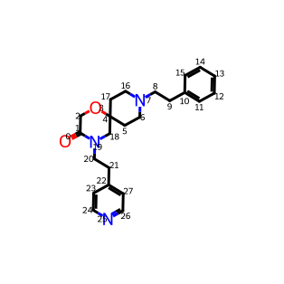 O=C1COC2(CCN(CCc3ccccc3)CC2)CN1CCc1ccncc1